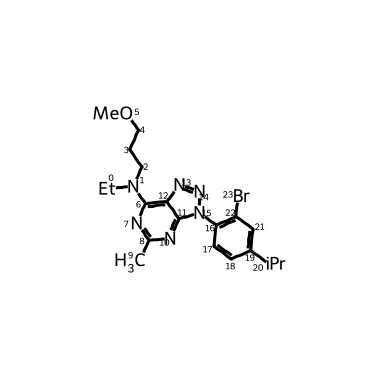 CCN(CCCOC)c1nc(C)nc2c1nnn2-c1ccc(C(C)C)cc1Br